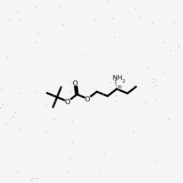 CC[C@@H](N)CCOC(=O)OC(C)(C)C